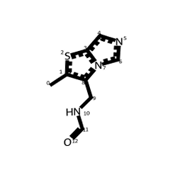 Cc1sc2cncn2c1CNC=O